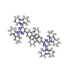 c1ccc([Si](c2ccccc2)(c2ccc(-c3cc(-n4c5ccccc5c5ccccc54)nc(-n4c5ccccc5c5ccccc54)n3)cc2)c2ccc(-c3nc(-n4c5ccccc5c5ccccc54)cc(-n4c5ccccc5c5ccccc54)n3)cc2)cc1